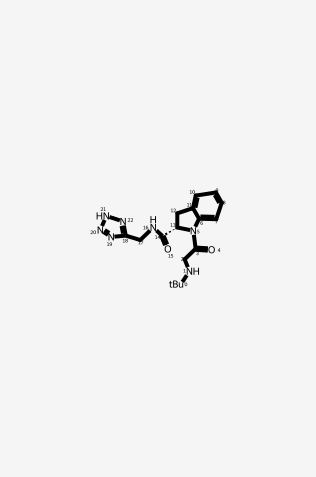 CC(C)(C)NCC(=O)N1c2ccccc2C[C@H]1C(=O)NCc1nn[nH]n1